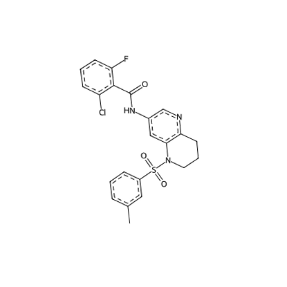 Cc1cccc(S(=O)(=O)N2CCCc3ncc(NC(=O)c4c(F)cccc4Cl)cc32)c1